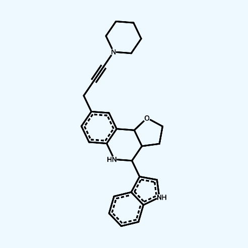 C(#CN1CCCCC1)Cc1ccc2c(c1)C1OCCC1C(c1c[nH]c3ccccc13)N2